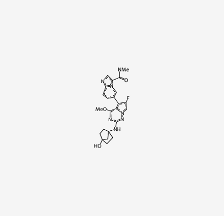 CNC(=O)c1cnc2ccc(-c3c(F)cn4nc(NC56CCC(O)(CC5)C6)nc(OC)c34)cn12